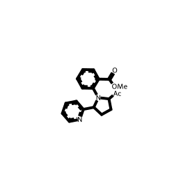 COC(=O)c1ccccc1N1C(C(C)=O)CCC1c1ccccn1